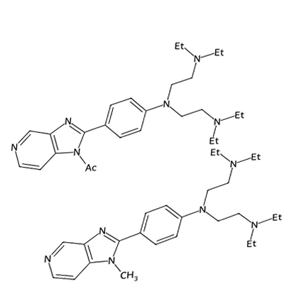 CCN(CC)CCN(CCN(CC)CC)c1ccc(-c2nc3cnccc3n2C(C)=O)cc1.CCN(CC)CCN(CCN(CC)CC)c1ccc(-c2nc3cnccc3n2C)cc1